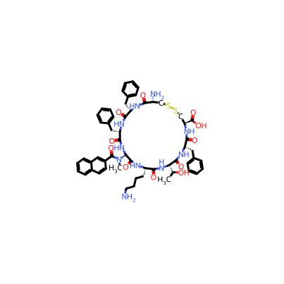 CC(O)[C@@H]1NC(=O)[C@H](CCCCN)NC(=O)[C@@H](N(C)C(=O)c2ccc3ccccc3c2)NC(=O)[C@H](Cc2ccccc2)NC(=O)[C@H](Cc2ccccc2)NC(=O)[C@H](N)CSSC[C@@H](C(=O)O)NC(=O)[C@H](Cc2ccccc2)NC1=O